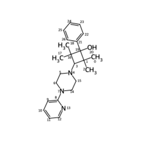 CC1(C)C(N2CCN(c3ccccn3)CC2)C(C)(C)C1(O)c1ccccc1